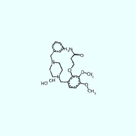 COc1ccc(CN2CCN(Cc3ccccc3)CC2)c(OCCC(N)=O)c1OC.Cl.Cl